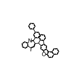 CC1=C=C(C2c3ccccc3-c3cc4c(cc32)oc2ccc3ccccc3c24)C(c2cccc(-c3ccccc3)c2)=Nc2ccccc21